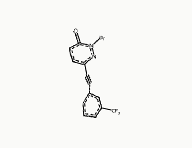 CC(C)n1nc(C#Cc2cccc(C(F)(F)F)c2)ccc1=O